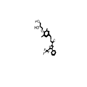 Cc1cc(CCC(=O)c2cc(-c3ccccc3)c(C(F)(F)F)s2)cc(C)c1OC[C@H](O)CO